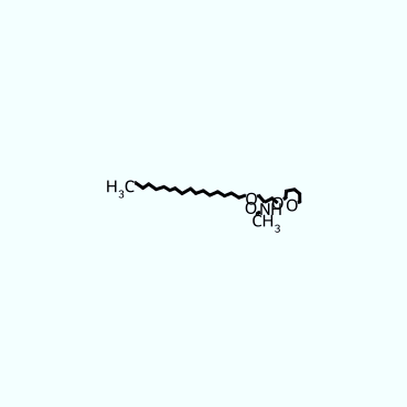 CCCCCCCCCCCCCCCCCCOCC(COC1CCCCO1)NC(C)=O